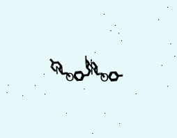 Cc1ccc(OCCN2CCN(I)CC2Cc2ccc(OCCN3CCC(C)CC3)cc2)cc1